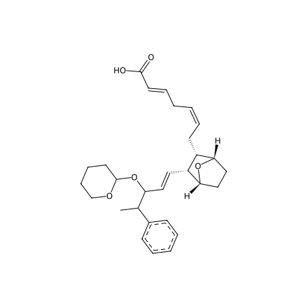 CC(c1ccccc1)C(/C=C/[C@@H]1[C@H](C/C=C\C/C=C/C(=O)O)[C@@H]2CC[C@H]1O2)OC1CCCCO1